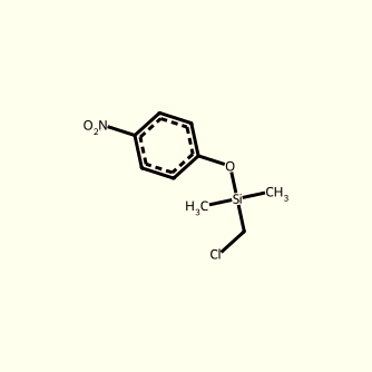 C[Si](C)(CCl)Oc1ccc([N+](=O)[O-])cc1